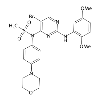 COc1ccc(OC)c(Nc2ncc(Br)c(N(c3ccc(N4CCOCC4)cc3)S(C)(=O)=O)n2)c1